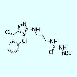 CCCCNC(=O)NCCCNc1ncc(C(=O)c2ccccc2Cl)s1